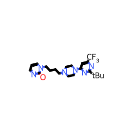 CC(C)(C)c1nc(N2CCN(CCCCn3cccnc3=O)CC2)cc(C(F)(F)F)n1